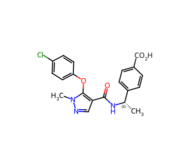 C[C@H](NC(=O)c1cnn(C)c1Oc1ccc(Cl)cc1)c1ccc(C(=O)O)cc1